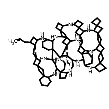 C=CCC1CC2NC3CCCC45CCCC67CCC6NC6CCCC89CC%10(CC%11%12CC%13(CCC%13NC%13CCC%13%14CC%13%15CC%16(CC%17%18CCCC(NC%19CCC%19%20CC%19(C%20)CC%20(CC%21(CC%22(CCC%22)C%21NC%14%13)C%20)C%19NC%17%16)C%18NC68)C%15NC%11%10)C%12NC34)C9NC3C7NC4CCCCC46CC4(C6)CC6(CC12C6)C4NC35